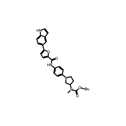 CN(C(=O)OC(C)(C)C)C1CCN(c2ccc(NC(=O)c3ccc(-c4ccc5[nH]ccc5c4)o3)cc2)C1